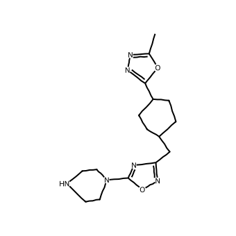 Cc1nnc(C2CCC(Cc3noc(N4CCNCC4)n3)CC2)o1